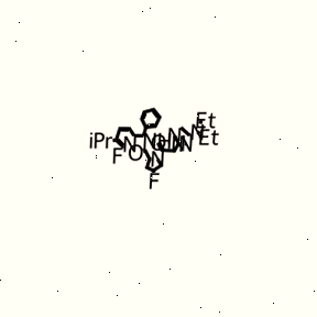 CCN(CC)c1cnn(CC(=O)N2CC(F)CC2C(=O)NC(c2ccccc2)c2ccc(C(C)C)c(F)n2)n1